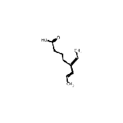 C/C=C/C(=C/C)CCCC(=O)O